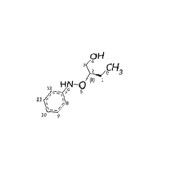 CC[C@H](CO)ONc1ccccc1